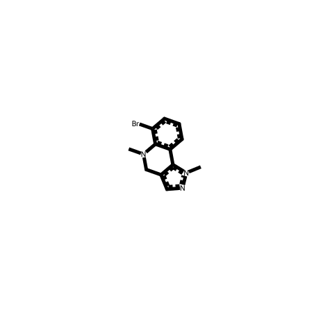 CN1Cc2cnn(C)c2-c2cccc(Br)c21